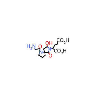 NCC(=O)N1CCC[C@]12CC(O)N([C@@H](CCC(=O)O)C(=O)O)C2=O